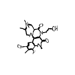 Cc1c(Cl)cc2c3c(c(=O)n(C)c2c1F)N(CCO)C(=O)C1CN(C)C(C)CN31